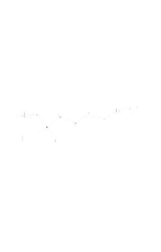 CCCCCCCCCCCC(C)(C)CCCCCC